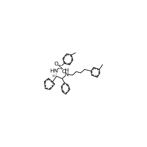 Cc1ccc(S(=O)(=O)N[C@@H](c2ccccc2)C(NCCCCc2cccc(C)c2)c2ccccc2)cc1